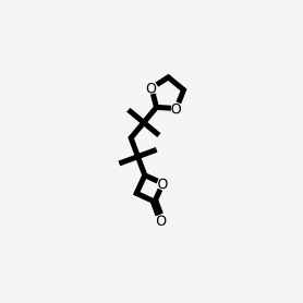 CC(C)(CC(C)(C)C1OCCO1)C1CC(=O)O1